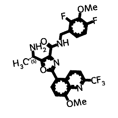 COc1c(F)ccc(CNC(=O)c2nc(-c3ccc(OC)c4nc(C(F)(F)F)ccc34)oc2[C@H](C)N)c1F